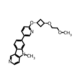 COCCO[C@H]1C[C@H](Oc2ccc(-c3ccc4c5cnccc5n(C)c4c3)cn2)C1